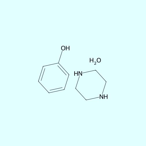 C1CNCCN1.O.Oc1ccccc1